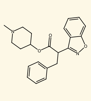 CN1CCC(OC(=O)C(Cc2ccccc2)c2noc3ccccc23)CC1